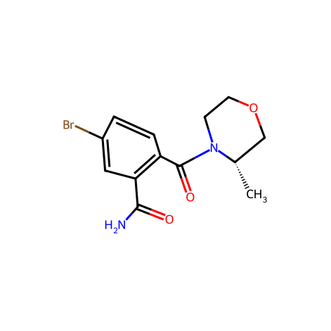 C[C@H]1COCCN1C(=O)c1ccc(Br)cc1C(N)=O